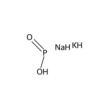 O=PO.[KH].[NaH]